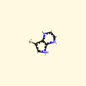 Brc1c[nH]c2nccnc12